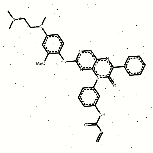 C=CC(=O)Nc1cccc(-n2c(=O)c(-c3ccccc3)nc3cnc(Nc4ccc(N(C)CCN(C)C)cc4OC)nc32)c1